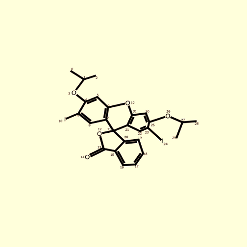 CC(C)Oc1cc2c(cc1I)C1(OC(=O)c3ccccc31)c1cc(I)c(OC(C)C)cc1O2